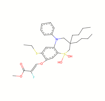 CCCCC1(CCCC)CN(c2ccccc2)c2cc(SCC)c(O/C=C(\F)C(=O)OC)cc2S(O)(O)C1